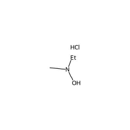 CCN(C)O.Cl